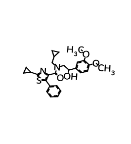 COc1ccc(C(O)CN(CC2CC2)C(=O)c2nc(C3CC3)sc2-c2ccccc2)cc1OC